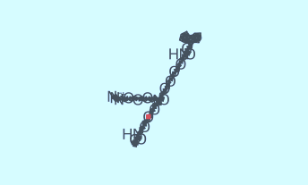 CC(C)(C)OC(=O)NCCOCCOCCOCCN(CCOCCOCCOCCN=[N+]=[N-])C(=O)CCOCCOCCOCCOCCNC(=O)OCC1c2ccccc2-c2ccccc21